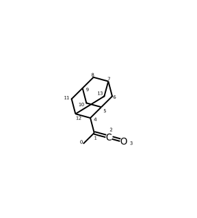 CC(=C=O)C1C2CC3CC(C2)CC1C3